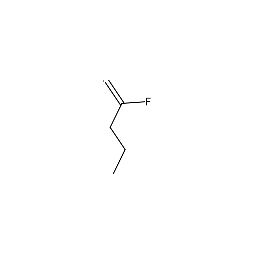 [CH]=C(F)CCC